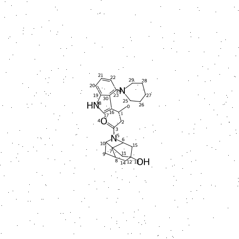 CC(CC(=O)N1C2CC3CC1CC(O)(C3)C2)c1c[nH]c2cccc(N3CCCCC3)c12